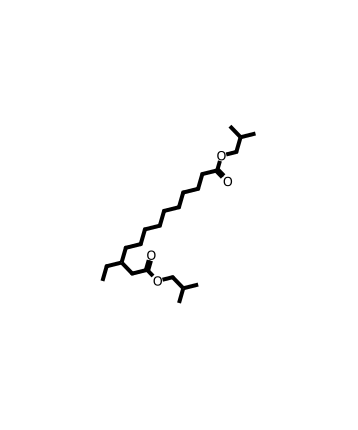 CCC(CCCCCCCCCC(=O)OCC(C)C)CC(=O)OCC(C)C